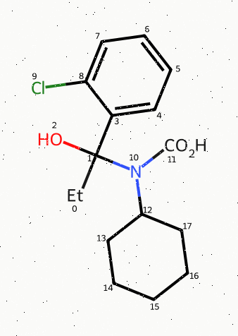 CCC(O)(c1ccccc1Cl)N(C(=O)O)C1CCCCC1